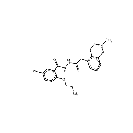 CCCOc1ccc(Cl)cc1C(=O)NNC(=O)Cc1cccc2c1CCN(C)C2